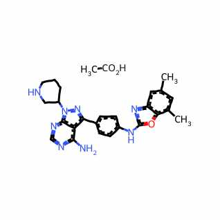 CC(=O)O.Cc1cc(C)c2oc(Nc3ccc(-c4nn(C5CCCNC5)c5ncnc(N)c45)cc3)nc2c1